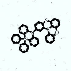 c1ccc([Si]2(c3ccccc3)c3ccccc3N(c3ccc4c(c3)B3c5ccccc5Oc5cccc(c53)S4)c3ccccc32)cc1